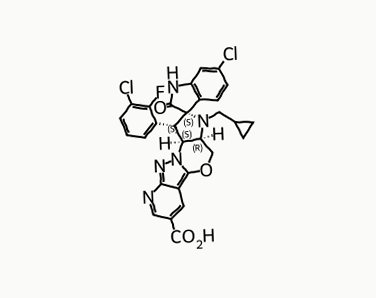 O=C(O)c1cnc2nn3c(c2c1)OC[C@H]1[C@@H]3[C@H](c2cccc(Cl)c2F)[C@]2(C(=O)Nc3cc(Cl)ccc32)N1CC1CC1